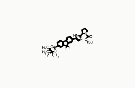 CC(C)(C)OC(=O)N1CCCC1c1ncc(-c2ccc3c(c2)C(F)(F)c2cc(B4OC(C)(C)C(C)(C)O4)ccc2-3)[nH]1